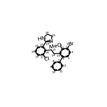 COc1c(Br)ccc(-c2ccccc2)c1CCc1c(Cl)cccc1C1=NCCN1